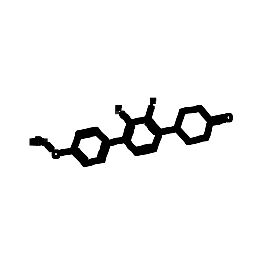 CCCCOc1ccc(-c2ccc(C3CCC(=O)CC3)c(F)c2F)cc1